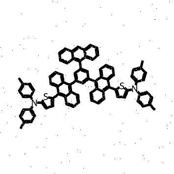 Cc1ccc(N(c2ccc(C)cc2)c2ccc(-c3c4ccccc4c(-c4cc(-c5c6ccccc6cc6ccccc56)cc(-c5c6ccccc6c(-c6ccc(N(c7ccc(C)cc7)c7ccc(C)cc7)s6)c6ccccc56)c4)c4ccccc34)s2)cc1